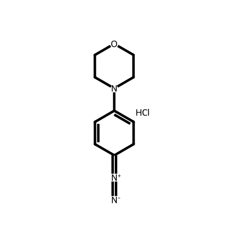 Cl.[N-]=[N+]=C1C=CC(N2CCOCC2)=CC1